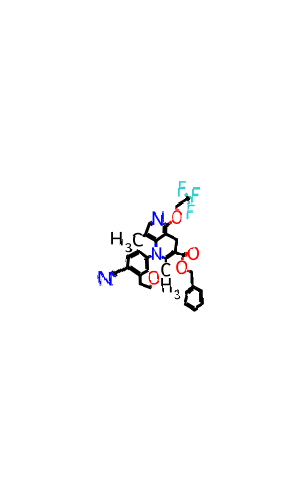 CC1=C(C(=O)OCc2ccccc2)Cc2c(OCC(F)(F)F)ncc(C)c2N1c1ccc(C#N)c2c1OCC2